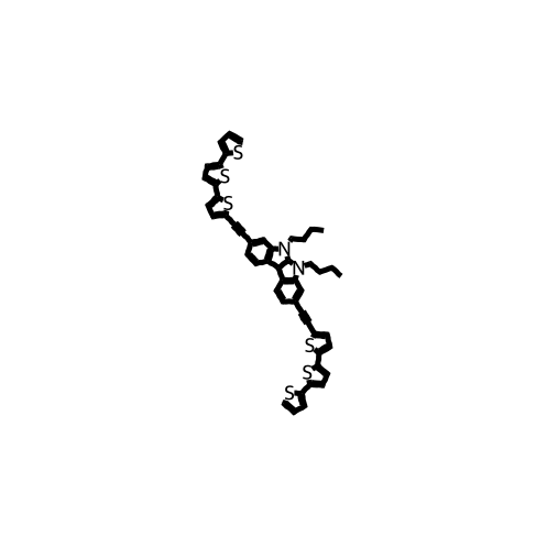 CCCCN1c2cc(C#Cc3ccc(-c4ccc(-c5cccs5)s4)s3)ccc2C2c3ccc(C#Cc4ccc(-c5ccc(-c6cccs6)s5)s4)cc3N(CCCC)C21